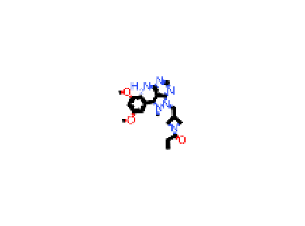 C=CC(=O)N1CC(CN2c3ncnc(N)c3C(c3cc(OC)cc(OC)c3)N2C)C1